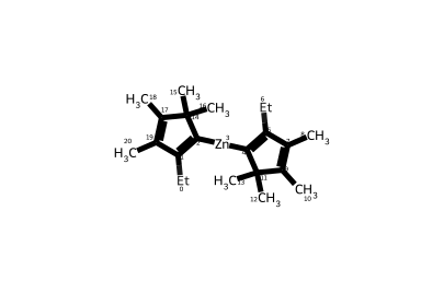 CCC1=[C]([Zn][C]2=C(CC)C(C)=C(C)C2(C)C)C(C)(C)C(C)=C1C